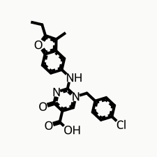 CCc1oc2ccc(Nc3nc(=O)c(C(=O)O)cn3Cc3ccc(Cl)cc3)cc2c1C